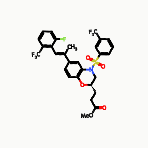 COC(=O)CC[C@H]1CN(S(=O)(=O)c2cccc(C(F)(F)F)c2)c2cc(/C(C)=C/c3c(F)cccc3C(F)(F)F)ccc2O1